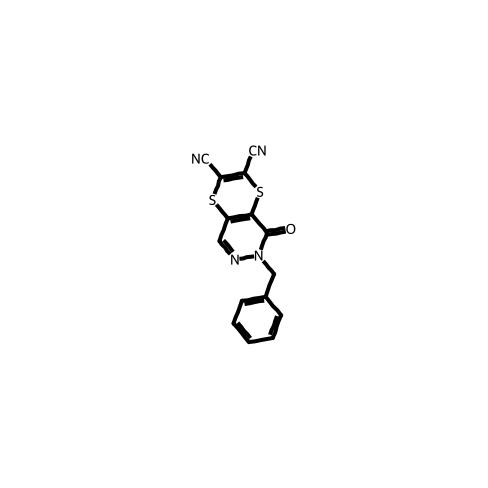 N#CC1=C(C#N)Sc2c(cnn(Cc3ccccc3)c2=O)S1